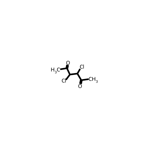 CC(=O)C(Cl)C(Cl)C(C)=O